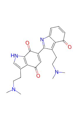 CN(C)CCC1=C2C(=O)C=CC=C2N=C1C1=CC(=O)c2c(CCN(C)C)c[nH]c2C1=O